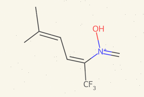 C=[N+](O)/C(=C\C=C(C)C)C(F)(F)F